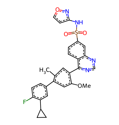 COc1cc(-c2ccc(F)c(C3CC3)c2)c(C)cc1-c1ncnc2cc(S(=O)(=O)Nc3ccon3)ccc12